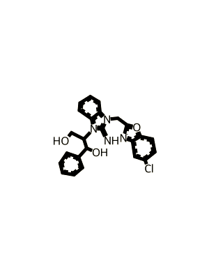 N=c1n(Cc2nc3cc(Cl)ccc3o2)c2ccccc2n1C(CO)C(O)c1ccccc1